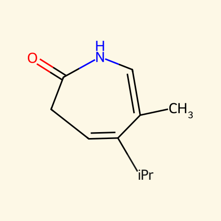 CC1=CNC(=O)CC=C1C(C)C